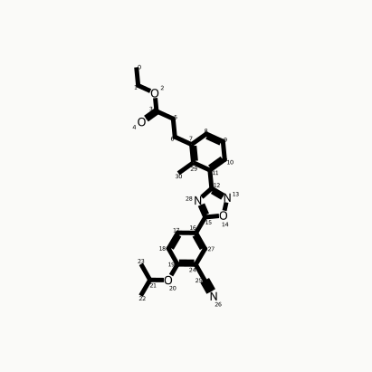 CCOC(=O)CCc1cccc(-c2noc(-c3ccc(OC(C)C)c(C#N)c3)n2)c1C